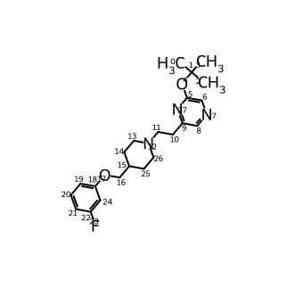 CC(C)(C)Oc1cncc(CCN2CCC(COc3cccc(F)c3)CC2)n1